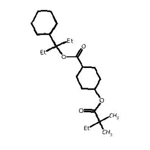 CCC(C)(C)C(=O)OC1CCC(C(=O)OC(CC)(CC)C2CCCCC2)CC1